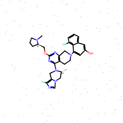 C[C@@H]1Cn2cnc(F)c2CN1c1nc(OC[C@H]2CCCN2C)nc2c1CCN(c1cc(O)cc3cccc(F)c13)C2